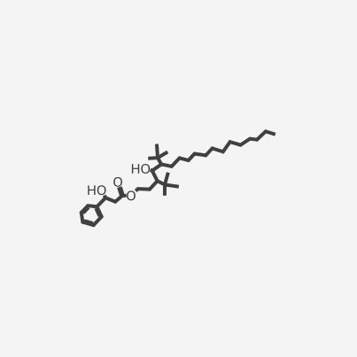 CCCCCCCCCCCCCC(C(O)C(CCOC(=O)CC(O)c1ccccc1)C(C)(C)C)C(C)(C)C